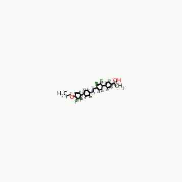 C=CCOc1ccc(-c2ccc(/C=C/C3=CCC(c4ccc(C(C)O)cc4)C(F)=C3F)cc2)c(F)c1F